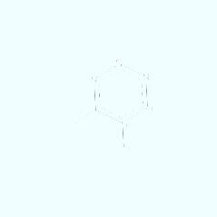 Fc1nnn[c]c1Br